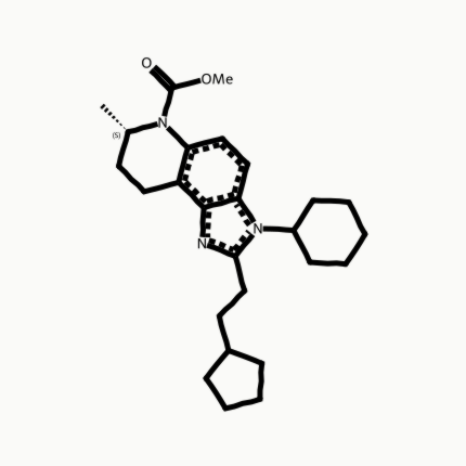 COC(=O)N1c2ccc3c(nc(CCC4CCCC4)n3C3CCCCC3)c2CC[C@@H]1C